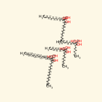 CCCCCCCCC(O)C(O)(CO)CCCCCCCC.CCCCCCCCCCC(O)C(O)(CO)CCCCCCCCCC.CCCCCCCCCCCCCCC(O)C(O)(CO)CCCCCCCCCCCCCC.CCCCCCCCCCCCCCCCCCC(O)C(O)(CO)CCCCCCCCCCCCCCCCCC